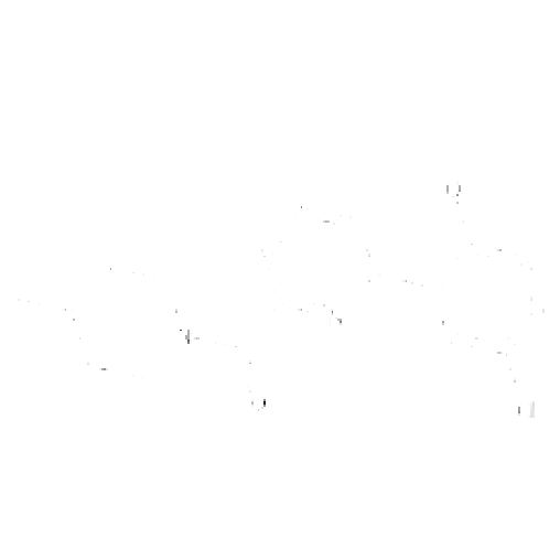 COc1ccc(Cl)cc1-c1cccc(C(=O)N2CCC(C)CC2)n1